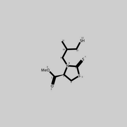 COC(=O)[C@@H]1CSC(=S)N1CC(C)CS